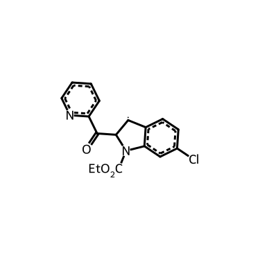 CCOC(=O)N1c2cc(Cl)ccc2[CH]C1C(=O)c1ccccn1